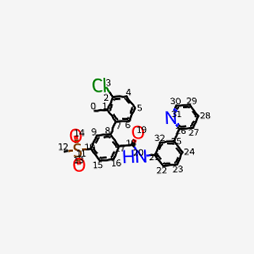 Cc1c(Cl)cccc1-c1cc(S(C)(=O)=O)ccc1C(=O)Nc1cccc(-c2ccccn2)c1